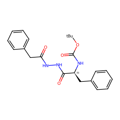 CC(C)(C)OC(=O)N[C@@H](Cc1ccccc1)C(=O)NNC(=O)Cc1ccccc1